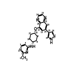 Cc1nccc(N[C@H]2CC[C@@H](Oc3cc(-c4cn[nH]c4)cc4nccnc34)CC2)n1